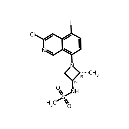 C[C@@H]1[C@@H](NS(C)(=O)=O)CN1c1ccc(I)c2cc(Cl)ncc12